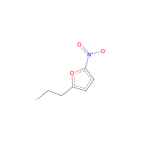 [CH2]CCc1ccc([N+](=O)[O-])o1